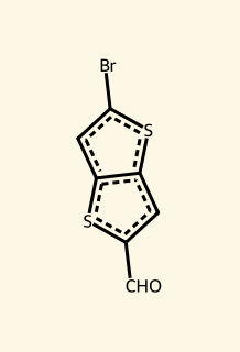 O=Cc1cc2sc(Br)cc2s1